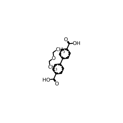 CCOCC.O=C(O)c1ccc(-c2ccc(C(=O)O)cc2)cc1